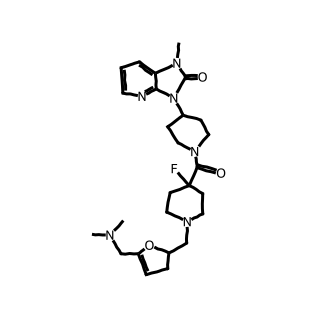 CN(C)CC1=CCC(CN2CCC(F)(C(=O)N3CCC(n4c(=O)n(C)c5cccnc54)CC3)CC2)O1